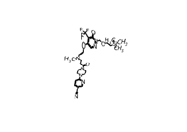 CN(CCOc1cnn(COCC[Si](C)(C)C)c(=O)c1C(F)(F)F)CCC(=O)N1CCN(c2ccc(C#N)cn2)CC1